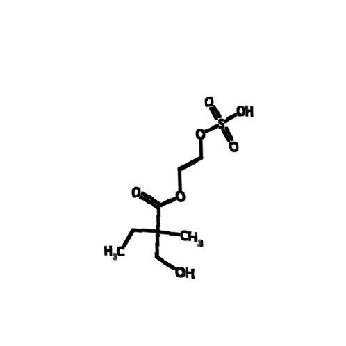 CCC(C)(CO)C(=O)OCCOS(=O)(=O)O